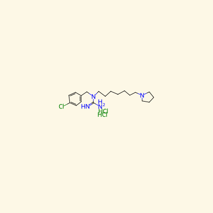 Cl.Cl.N=C(N)N(CCCCCCCN1CCCC1)Cc1ccc(Cl)cc1